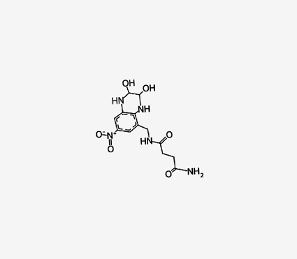 NC(=O)CCC(=O)NCc1cc([N+](=O)[O-])cc2c1NC(O)C(O)N2